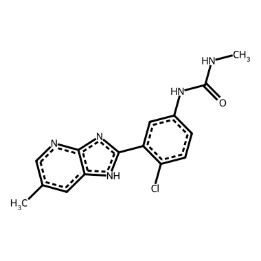 CNC(=O)Nc1ccc(Cl)c(-c2nc3ncc(C)cc3[nH]2)c1